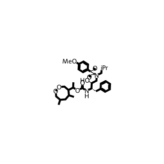 COc1ccc(S(=O)(=O)N(CC(C)C)C[C@@H](O)[C@H](Cc2ccccc2)NC(=O)OC(C)C2COOCC(C)CC2C)cc1